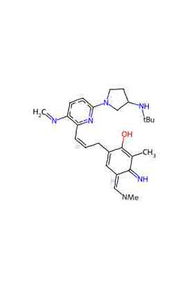 C=Nc1ccc(N2CCC(NC(C)(C)C)C2)nc1/C=C\CC1=C/C(=C/NC)C(=N)C(C)=C1O